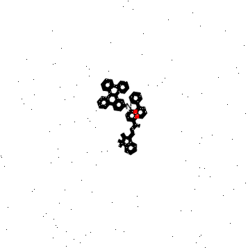 C=C1/C(=C\C=C(/C)c2ccc(N(c3ccc4c(c3)C3c5ccccc5-c5ccccc5C3c3ccccc3-4)c3ccccc3-c3ccccc3)cc2)c2ccccc2C1(C)C